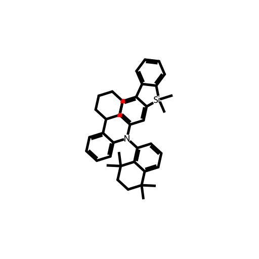 CC1(C)CCC(C)(C)c2c(N(c3ccc4c(c3)[Si](C)(C)c3ccccc3-4)c3ccccc3C3CCCCC3)cccc21